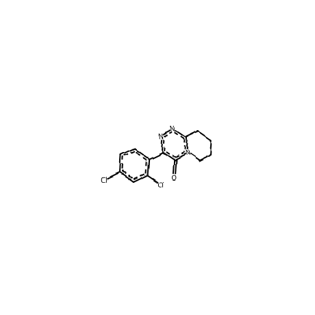 O=c1c(-c2ccc(Cl)cc2Cl)nnc2n1CCCC2